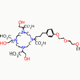 CCOCCOCCOc1ccc(CCC[C@@H](C(=O)O)N2CCN([C@@H](CO)C(=O)O)CCN([C@H](CO)C(=O)O)CCN([C@@H](CO)C(=O)O)CC2)cc1